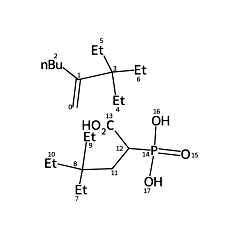 C=C(CCCC)C(CC)(CC)CC.CCC(CC)(CC)CC(C(=O)O)P(=O)(O)O